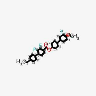 CCc1ccc(-c2ccc(C(=O)OC3CCC(c4ccc(OC)c(F)c4)CC3)c(F)c2F)cc1